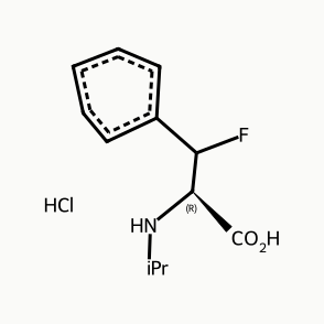 CC(C)N[C@H](C(=O)O)C(F)c1ccccc1.Cl